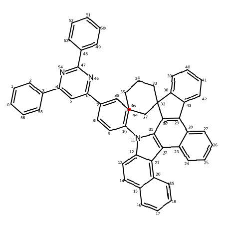 c1ccc(-c2cc(-c3ccc(-n4c5ccc6ccccc6c5c5c6ccccc6c6c(c54)C4(CCCCC4)c4ccccc4-6)cc3)nc(-c3ccccc3)n2)cc1